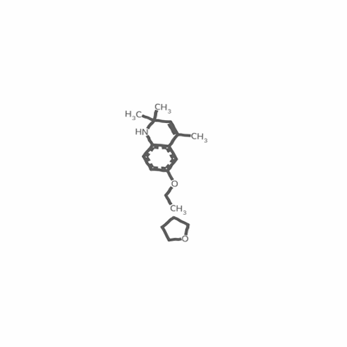 C1CCOC1.CCOc1ccc2c(c1)C(C)=CC(C)(C)N2